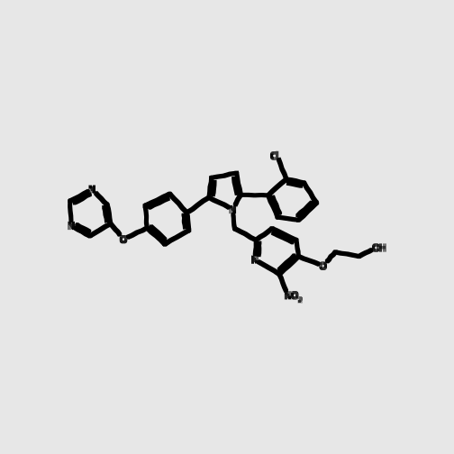 O=[N+]([O-])c1nc(Cn2c(-c3ccc(Oc4cncnc4)cc3)ccc2-c2ccccc2Cl)ccc1OCCO